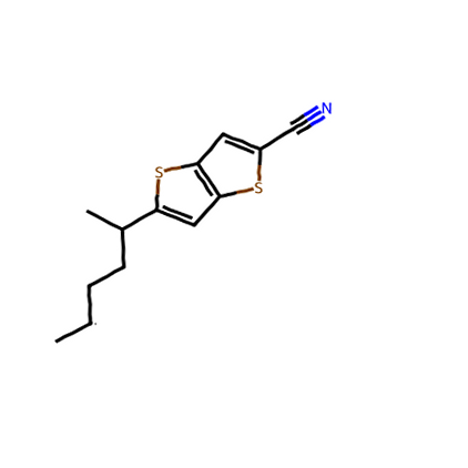 C[CH]CCC(C)c1cc2sc(C#N)cc2s1